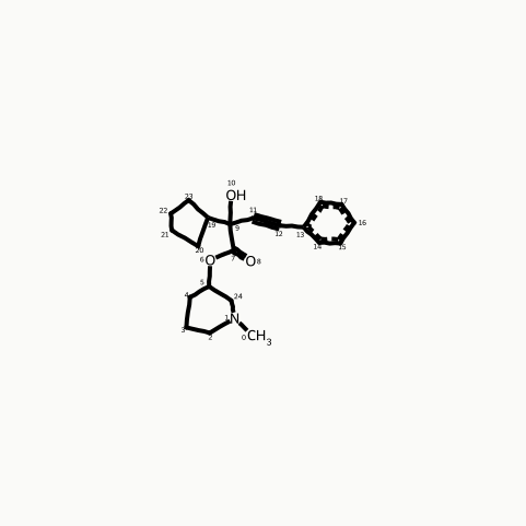 CN1CCCC(OC(=O)C(O)(C#Cc2ccccc2)C2CCCC2)C1